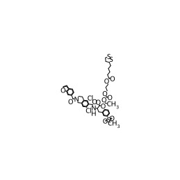 CC(OC(=O)OCCCOC(=O)CCCCC1CCSS1)OC(=O)C(Cc1cccc(S(C)(=O)=O)c1)NC(=O)c1c(Cl)cc2c(c1Cl)CCN(C(=O)c1ccc3ccoc3c1)C2